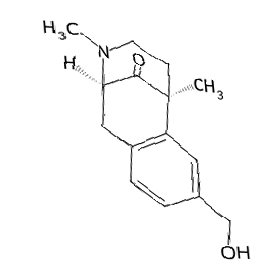 CN1CC[C@]2(C)C(=O)[C@H]1Cc1ccc(CO)cc12